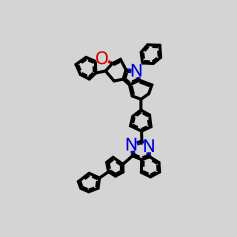 C1=C2Oc3ccccc3C2Cc2c1n(-c1ccccc1)c1c2=CC(c2ccc(-c3nc(-c4ccc(-c5ccccc5)cc4)c4ccccc4n3)cc2)CC=1